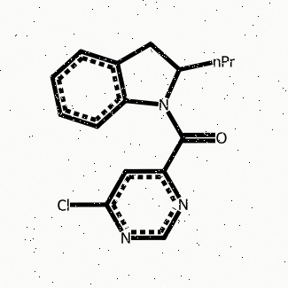 CCCC1Cc2ccccc2N1C(=O)c1cc(Cl)ncn1